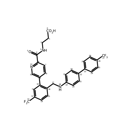 O=C(O)CCNC(=O)c1ccc(-c2cc(C(F)(F)F)ccc2CNc2ccc(-c3ccc(C(F)(F)F)cc3)cc2)cn1